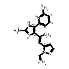 C=Cn1nccc1/C=C(\C)c1nc(N)[nH]c1-c1cccc(C)n1